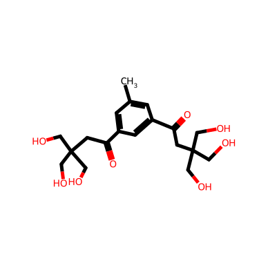 Cc1cc(C(=O)CC(CO)(CO)CO)cc(C(=O)CC(CO)(CO)CO)c1